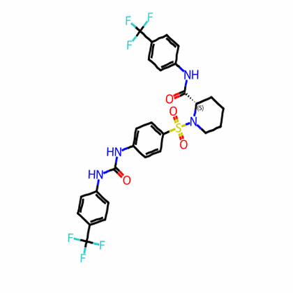 O=C(Nc1ccc(C(F)(F)F)cc1)Nc1ccc(S(=O)(=O)N2CCCC[C@H]2C(=O)Nc2ccc(C(F)(F)F)cc2)cc1